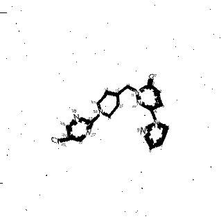 O=c1ccc(-n2cccn2)nn1CC1CCN(c2ncc(Cl)cn2)CC1